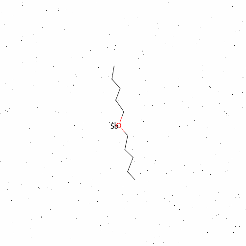 CCCCCOCCCCC.[Sb]